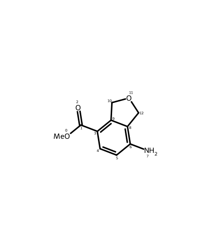 COC(=O)c1ccc(N)c2c1COC2